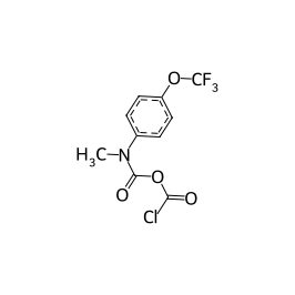 CN(C(=O)OC(=O)Cl)c1ccc(OC(F)(F)F)cc1